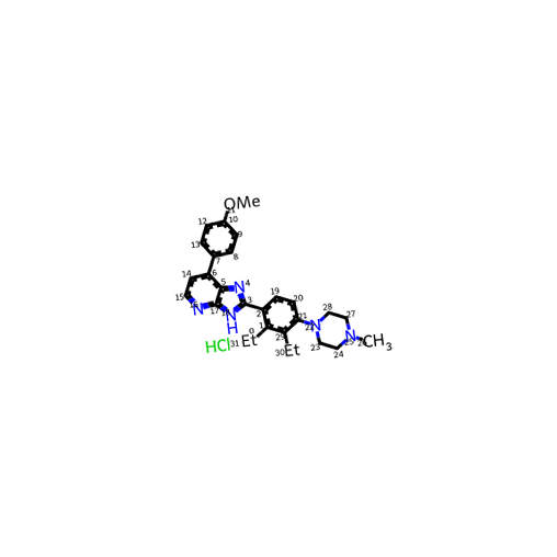 CCc1c(-c2nc3c(-c4ccc(OC)cc4)ccnc3[nH]2)ccc(N2CCN(C)CC2)c1CC.Cl